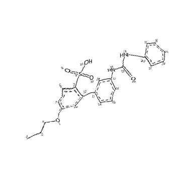 CCCOc1ccc(S(=O)(=O)O)c(-c2cccc(NC(=O)Nc3ccccc3)c2)c1